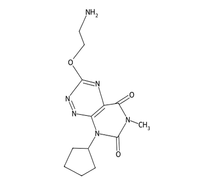 Cn1c(=O)c2nc(OCCN)nnc2n(C2CCCC2)c1=O